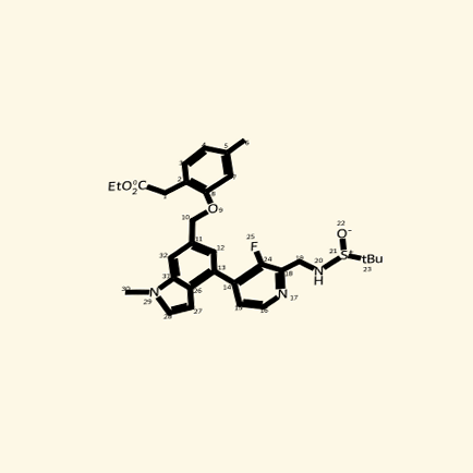 CCOC(=O)Cc1ccc(C)cc1OCc1cc(-c2ccnc(CN[S+]([O-])C(C)(C)C)c2F)c2ccn(C)c2c1